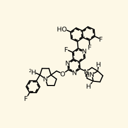 [2H]C1(c2ccc(F)cc2)CCC2(COc3nc(N4C[C@H]5CC[C@@H](C4)N5)c4cnc(-c5cc(O)cc6ccc(F)c(F)c56)c(F)c4n3)CCCN21